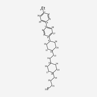 CCc1ccc(-c2ccc(C3CCC(CCC4CCC(CCCF)CC4)CC3)cc2)cc1